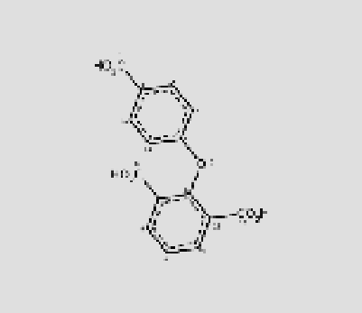 O=C(O)c1ccc(Oc2c(C(=O)O)cccc2C(=O)O)cc1